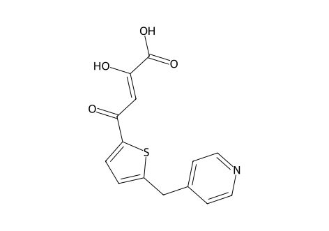 O=C(O)C(O)=CC(=O)c1ccc(Cc2ccncc2)s1